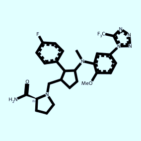 COc1ccc(-n2nnnc2C(F)(F)F)cc1N(C)C1CCC(CN2CCC[C@H]2C(N)=O)C1c1ccc(F)cc1